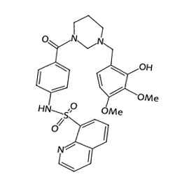 COc1ccc(CN2CCCN(C(=O)c3ccc(NS(=O)(=O)c4cccc5cccnc45)cc3)C2)c(O)c1OC